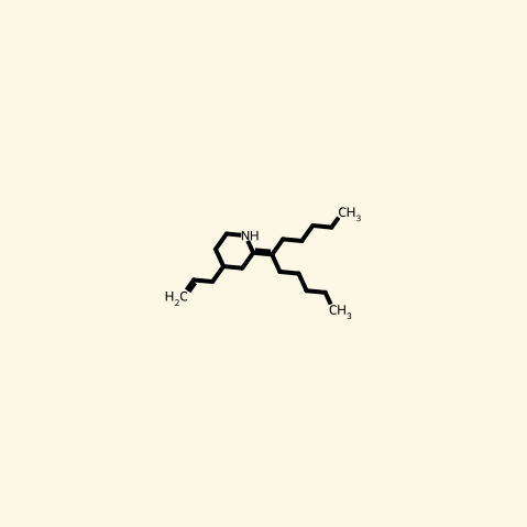 C=CCC1CCNC(=C(CCCCC)CCCCC)C1